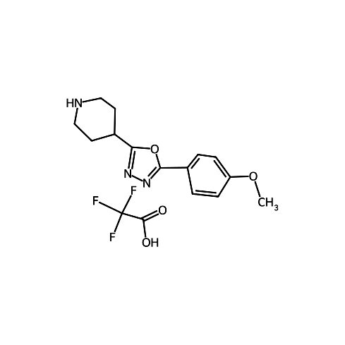 COc1ccc(-c2nnc(C3CCNCC3)o2)cc1.O=C(O)C(F)(F)F